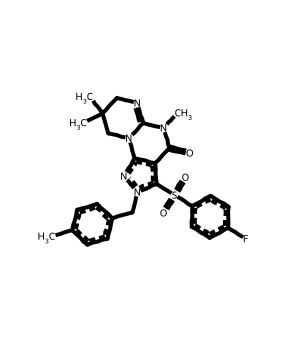 Cc1ccc(Cn2nc3c(c2S(=O)(=O)c2ccc(F)cc2)C(=O)N(C)C2=NCC(C)(C)CN23)cc1